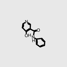 O=C(Nc1ccccc1)c1cnccc1O